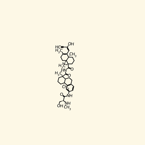 C#C/C(O)=C\C1=C(C)CC[C@H]2[C@@](C)(C(=O)NC(=O)[C@@]3(C)CCC[C@]4(C)c5cc(NC(=O)[C@H](CO)NC)ccc5CCC34)CCC[C@]12C